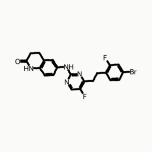 O=C1CCc2cc(Nc3ncc(F)c(CCc4ccc(Br)cc4F)n3)ccc2N1